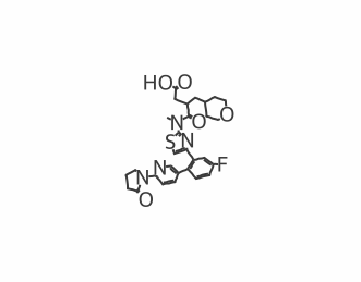 CN(C(=O)C(CC(=O)O)CC1CCOCC1)c1nc(-c2cc(F)ccc2-c2ccc(N3CCCC3=O)nc2)cs1